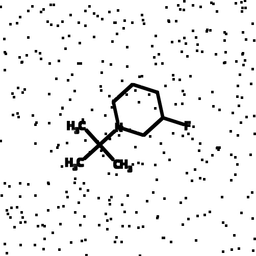 CC(C)(C)N1CCCC(F)C1